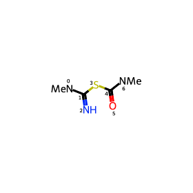 CNC(=N)SC(=O)NC